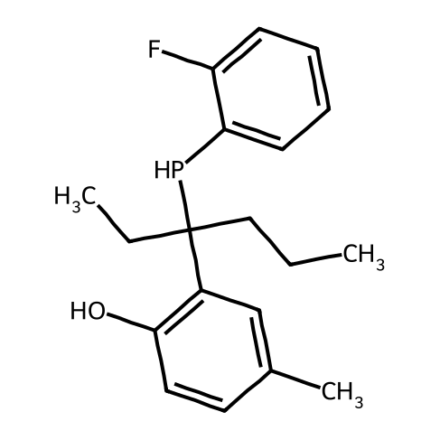 CCCC(CC)(Pc1ccccc1F)c1cc(C)ccc1O